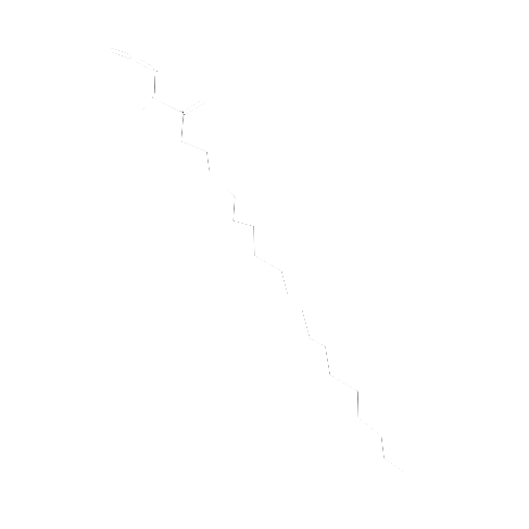 CCCCCCCCCCCCCCCCCCC(=O)N(O)N=C=O